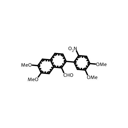 COc1cc(-c2ccc3cc(OC)c(OC)cc3c2C=O)c([N+](=O)[O-])cc1OC